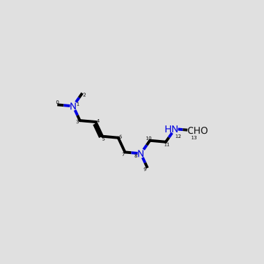 CN(C)C/C=C/CCN(C)CCNC=O